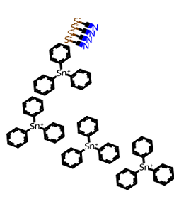 N#C[S-].N#C[S-].N#C[S-].N#C[S-].c1cc[c]([Sn+]([c]2ccccc2)[c]2ccccc2)cc1.c1cc[c]([Sn+]([c]2ccccc2)[c]2ccccc2)cc1.c1cc[c]([Sn+]([c]2ccccc2)[c]2ccccc2)cc1.c1cc[c]([Sn+]([c]2ccccc2)[c]2ccccc2)cc1